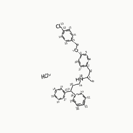 CC(Cc1ccc(OCc2ccc(Cl)cc2)cc1)NCCC(c1ccccc1)c1ccccc1.Cl